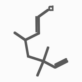 C=CC(C)(C)CC(C)C=CCl